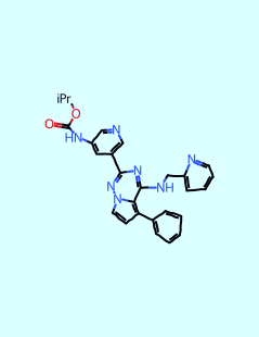 CC(C)OC(=O)Nc1cncc(-c2nc(NCc3ccccn3)c3c(-c4ccccc4)ccn3n2)c1